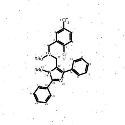 CCCCN(Cc1cc(C(F)(F)F)ccc1Cl)Cc1c(-c2ccccc2)nc(-c2ccccc2)n1CCCC